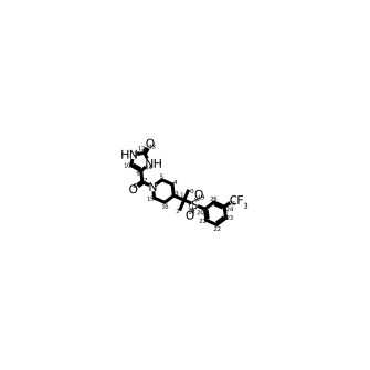 CC(C)(C1CCN(C(=O)c2c[nH]c(=O)[nH]2)CC1)S(=O)(=O)c1cccc(C(F)(F)F)c1